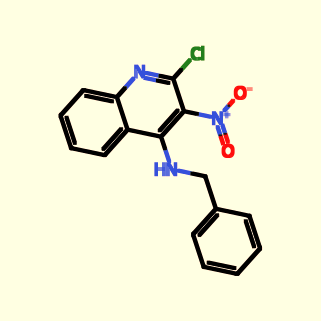 O=[N+]([O-])c1c(Cl)nc2ccccc2c1NCc1ccccc1